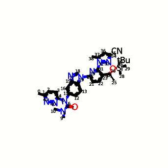 Cc1ccc(N(C(=O)N(C)C)c2ccc3c(c2)ncn3-c2ccc([C@H](C)O[Si](C)(C)C(C)(C)C)c(-n3nc(C#N)cc3C)n2)nn1